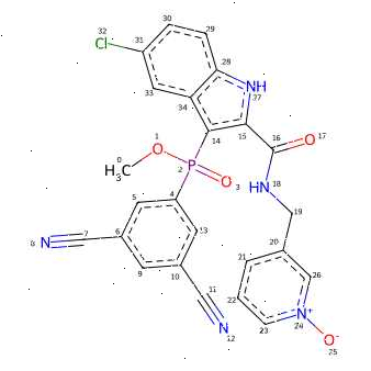 COP(=O)(c1cc(C#N)cc(C#N)c1)c1c(C(=O)NCc2ccc[n+]([O-])c2)[nH]c2ccc(Cl)cc12